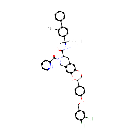 CC(NC(=O)C1Cc2cc3c(cc2CN1C(=O)c1ccccn1)OC(c1ccc(OCc2ccc(Cl)c(Cl)c2)cc1)CO3)(C(=O)O)c1ccc(-c2ccccc2)c(C#N)c1